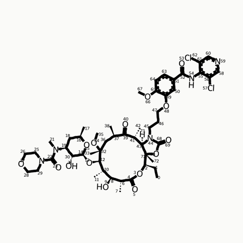 CC[C@H]1OC(=O)[C@H](C)[C@@H](O)[C@H](C)[C@@H](O[C@@H]2O[C@H](C)C[C@H](N(C)C(=O)N3CCOCC3)[C@H]2O)[C@](C)(OC)C[C@@H](C)C(=O)[C@H](C)[C@H]2N(CCCOc3cc(C(=O)Nc4c(Cl)cncc4Cl)ccc3OC)C(=O)O[C@]12C